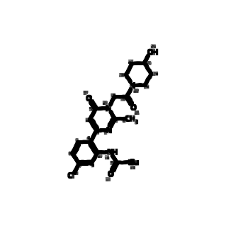 Cc1nc(-c2ccc(Cl)cc2NC(=O)C(C)(C)C)cc(=O)n1CC(=O)N1CCC(O)CC1